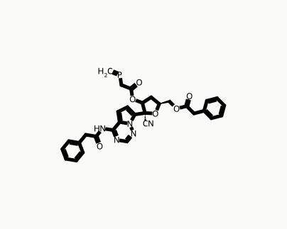 C=PCC(=O)OC1C[C@@H](COC(=O)Cc2ccccc2)O[C@@]1(C#N)c1ccc2c(NC(=O)Cc3ccccc3)ncnn12